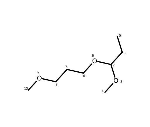 CCC(OC)OCCCOC